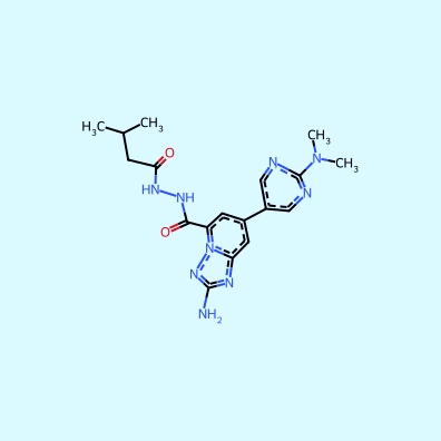 CC(C)CC(=O)NNC(=O)c1cc(-c2cnc(N(C)C)nc2)cc2nc(N)nn12